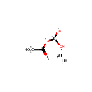 O=C(O)C(=O)OB(O)O.[LiH].[LiH]